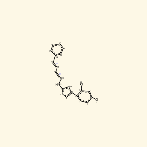 Clc1ccc(-c2csc(N/N=C/C=C/c3ccccc3)n2)c(Cl)c1